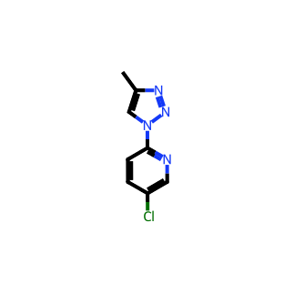 Cc1cn(-c2ccc(Cl)cn2)nn1